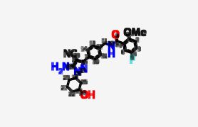 COc1ccc(F)cc1C(=O)NCc1ccc(-c2nn(C3CCCC(O)C3)c(N)c2C#N)cc1